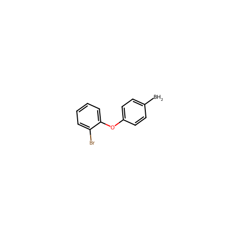 Bc1ccc(Oc2ccccc2Br)cc1